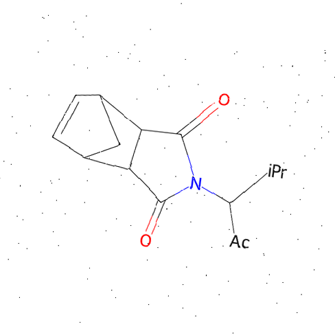 CC(=O)C(C(C)C)N1C(=O)C2C3C=CC(C3)C2C1=O